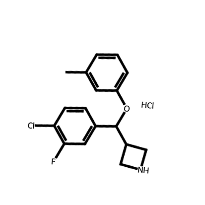 Cc1cccc(OC(c2ccc(Cl)c(F)c2)C2CNC2)c1.Cl